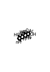 CCCc1ccc(O)c2c1C[C@H]1C[C@H]3[C@H](N(C)C)C(O)=C(C(C)=O)C(=O)[C@@]3(O)C(O)=C1C2=O